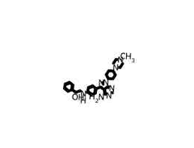 CN1CCN([C@H]2CC[C@@H](n3nc(-c4ccc(NCC(O)c5ccccc5)cc4)c4c(N)ncnc43)CC2)CC1